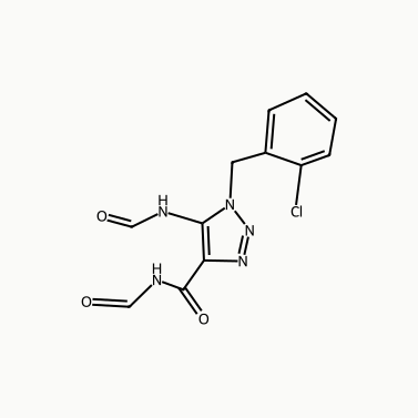 O=CNC(=O)c1nnn(Cc2ccccc2Cl)c1NC=O